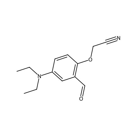 CCN(CC)c1ccc(OCC#N)c(C=O)c1